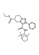 CCOC(=O)C1CCc2nn(-c3ccccc3)c(C(=O)NC3C4(C)CCC(C4)C3(C)C)c2C1